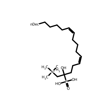 CCCCCCCCCCCCCC/C=C\CCC/C=C\CCC(O)(C[N+](C)(C)C)P(=O)(O)O